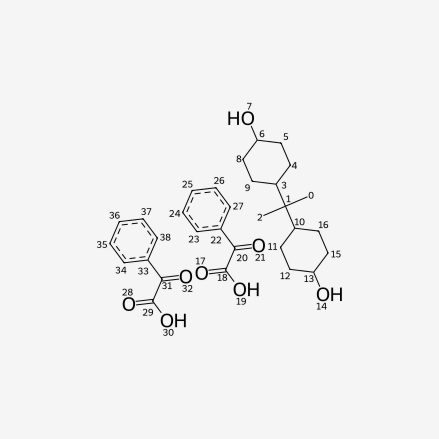 CC(C)(C1CCC(O)CC1)C1CCC(O)CC1.O=C(O)C(=O)c1ccccc1.O=C(O)C(=O)c1ccccc1